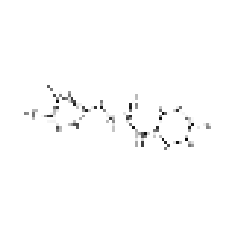 Cc1cc(CNC(=O)NC2CCN(C)CC2)ccc1F